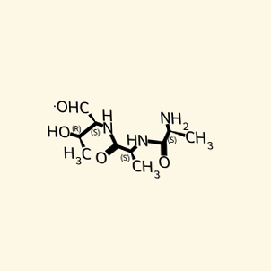 C[C@H](N)C(=O)N[C@@H](C)C(=O)N[C@H]([C]=O)[C@@H](C)O